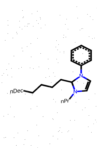 CCCCCCCCCCCCCCC1N(CCC)C=CN1c1ccccc1